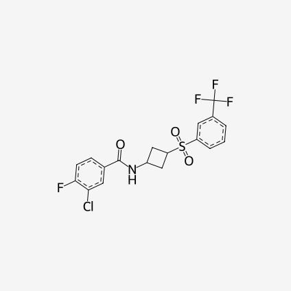 O=C(NC1CC(S(=O)(=O)c2cccc(C(F)(F)F)c2)C1)c1ccc(F)c(Cl)c1